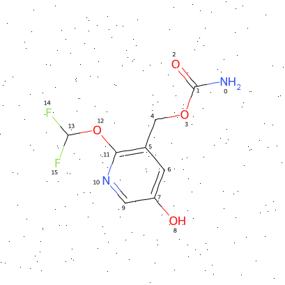 NC(=O)OCc1cc(O)cnc1OC(F)F